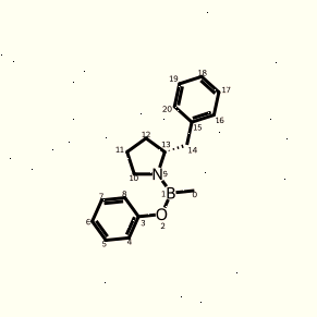 CB(Oc1ccccc1)N1CCC[C@@H]1Cc1ccccc1